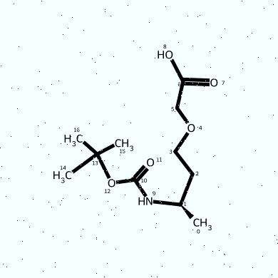 C[C@H](CCOCC(=O)O)NC(=O)OC(C)(C)C